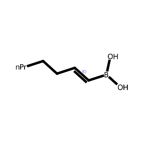 CCCCC/C=C/B(O)O